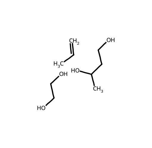 C=CC.CC(O)CCO.OCCO